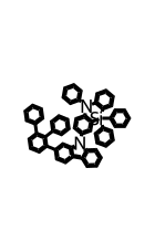 c1ccc(-c2cccc(-c3ccc4c5ccccc5n(-c5ccc6c(c5)[Si](c5ccccc5)(c5ccccc5)c5ccccc5N6c5ccccc5)c4c3)c2-c2ccccc2)cc1